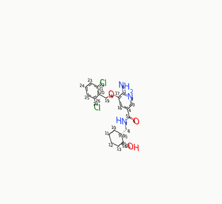 Nc1ncc(C(=O)NC[C@H]2CCCC[C@H]2O)cc1OCc1c(Cl)cccc1Cl